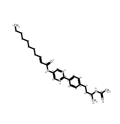 CCCCCCCCC=CC(=O)Oc1cnc(-c2ccc(CCC(C)OC(C)=O)cc2)nc1